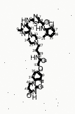 Cc1nc(Nc2ncc(C(=O)Nc3c(C)cccc3Cl)s2)cc(N2CCN(CCCNC(=O)COc3ccc(N4CCC(=O)NC4=O)c(F)c3)CC2)n1